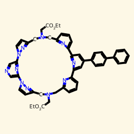 CCOC(=O)CN1Cc2cccc(n2)-c2cc(-c3ccc(-c4ccccc4)cc3)cc(n2)-c2cccc(n2)CN(CC(=O)OCC)Cc2ccn(n2)-c2cncc(n2)-n2ccc(n2)C1